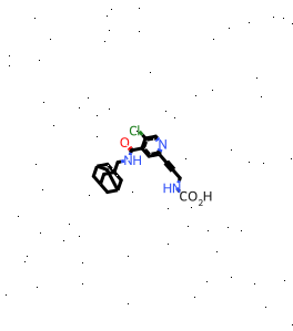 O=C(O)NCC#Cc1cc(C(=O)NCC23CC4CC(CC(C4)C2)C3)c(Cl)cn1